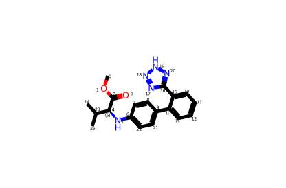 COC(=O)[C@@H](Nc1ccc(-c2ccccc2-c2nn[nH]n2)cc1)C(C)C